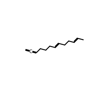 C=C=CCCCC=CCCC=CC